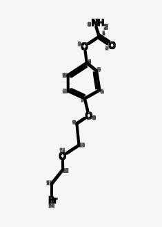 NC(=O)Oc1ccc(OCCOCCBr)cc1